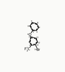 FC(F)(F)c1cc(Oc2cc[c]cc2)ccc1Br